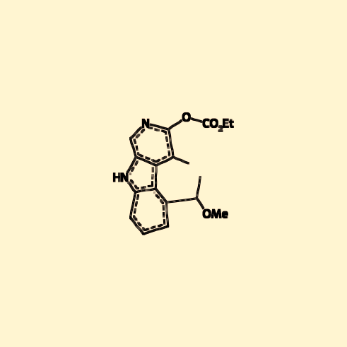 CCOC(=O)Oc1ncc2[nH]c3cccc(C(C)OC)c3c2c1C